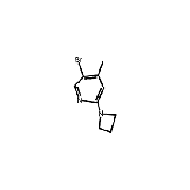 Cc1cc(N2CCC2)ncc1Br